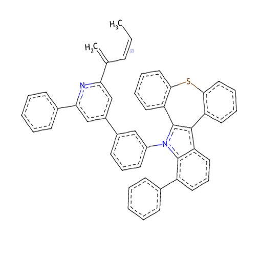 C=C(/C=C\C)c1cc(-c2cccc(-n3c4c(c5cccc(-c6ccccc6)c53)-c3ccccc3Sc3ccccc3-4)c2)cc(-c2ccccc2)n1